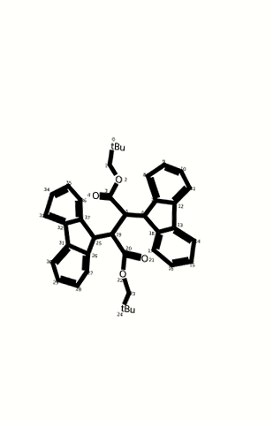 CC(C)(C)COC(=O)C(C1c2ccccc2-c2ccccc21)C(C(=O)OCC(C)(C)C)C1c2ccccc2-c2ccccc21